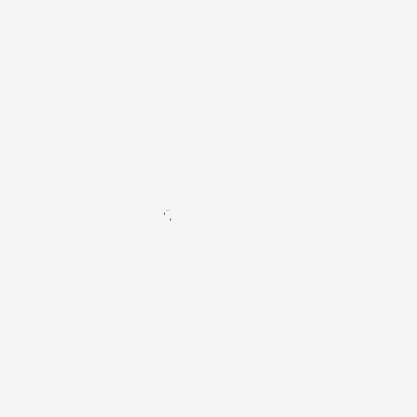 Cc1ccsc1C=C1CC1